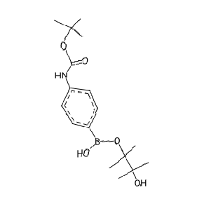 CC(C)(C)OC(=O)Nc1ccc(B(O)OC(C)(C)C(C)(C)O)cc1